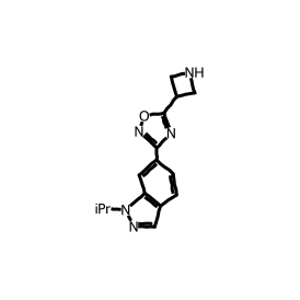 CC(C)n1ncc2ccc(-c3noc(C4CNC4)n3)cc21